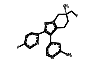 C[C@]1(CF)CCc2c(-c3ccnc(N)c3)c(-c3ccc(F)cn3)nn2C1